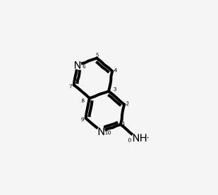 [NH]c1cc2ccncc2cn1